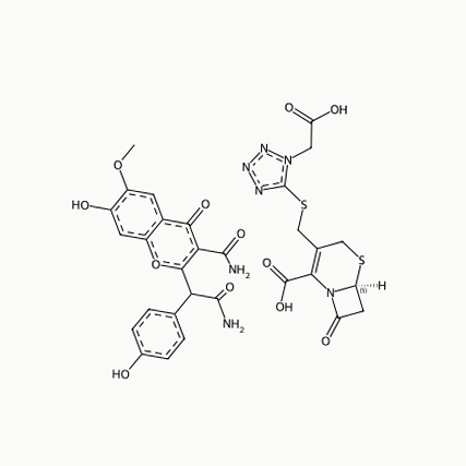 COc1cc2c(=O)c(C(N)=O)c(C(C(N)=O)c3ccc(O)cc3)oc2cc1O.O=C(O)Cn1nnnc1SCC1=C(C(=O)O)N2C(=O)C[C@@H]2SC1